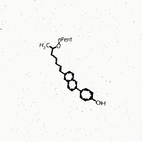 CCCCCOC(C)CCCC=Cc1ccc2cc(-c3ccc(O)cc3)ccc2c1